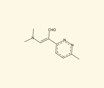 Cc1ccc(C(C=O)=CN(C)C)nn1